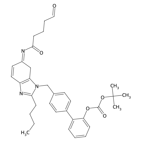 CCCCc1nc2c(n1Cc1ccc(-c3ccccc3OC(=O)OC(C)(C)C)cc1)CC(=NC(=O)CCCC=O)C=C2